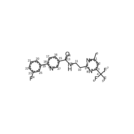 Cc1cc(C(F)(F)F)nc(CCNC(=O)c2ccc(-c3cccc(F)c3)nc2)n1